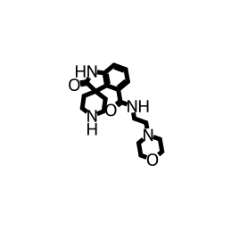 O=C(NCCN1CCOCC1)c1cccc2c1C1(CCNCC1)C(=O)N2